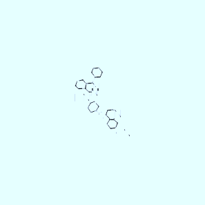 N#Cc1ccc2c(Sc3ccc(Nc4nnc(-c5ccccc5)c5ccccc45)cc3)ccnc2c1